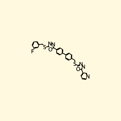 Fc1cccc(CSc2nnc(-c3ccc(-c4ccc(CSc5nnc(-c6cccnc6)o5)cc4)cc3)o2)c1